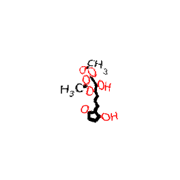 CC(=O)OCC(O)C(/C=C/C=C1\C(=O)C=CC1O)OC(C)=O